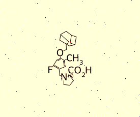 Cc1cc(CN2CCC[C@H]2C(=O)O)c(F)cc1OCC12CC3CC(CC(C3)C1)C2